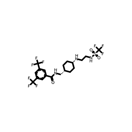 O=C(NC[C@H]1CC[C@@H](NCCNS(=O)(=O)C(F)(F)F)CC1)c1cc(C(F)(F)F)cc(C(F)(F)F)c1